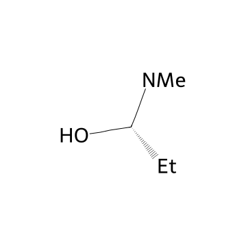 CC[C@H](O)NC